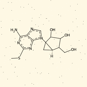 CSc1nc(N)c2ncn(C34C[C@@H]3C(CO)C(O)C4O)c2n1